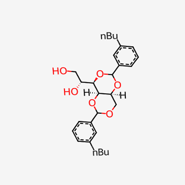 CCCCc1cccc(C2OC[C@@H]3OC(c4cccc(CCCC)c4)O[C@H]([C@H](O)CO)[C@@H]3O2)c1